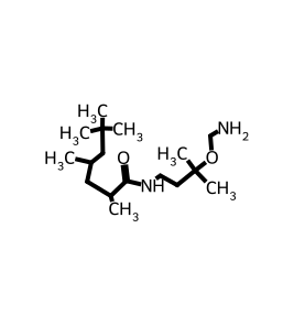 CC(CC(C)C(=O)NCCC(C)(C)OCN)CC(C)(C)C